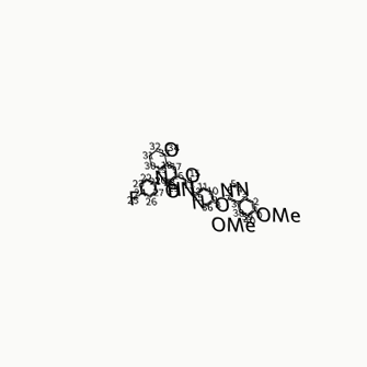 COc1cc2ncnc(Oc3ccc(NC(=O)c4cc5c(n(-c6ccc(F)cc6)c4=O)CCCC5=O)nc3)c2cc1OC